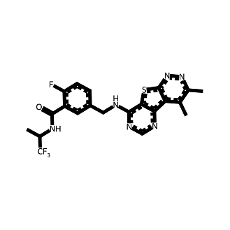 Cc1nnc2sc3c(NCc4ccc(F)c(C(=O)NC(C)C(F)(F)F)c4)ncnc3c2c1C